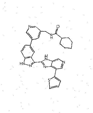 O=C(NCc1cncc(-c2ccc3[nH]nc(-c4nc5c(-c6cccs6)cncc5[nH]4)c3c2)c1)C1CCCCC1